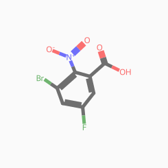 O=C(O)c1cc(F)cc(Br)c1[N+](=O)[O-]